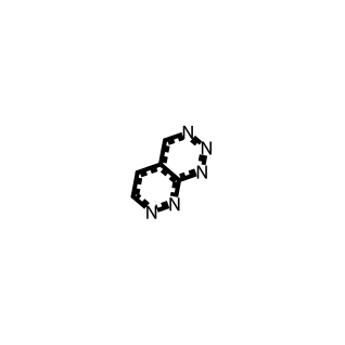 c1cc2cnnnc2nn1